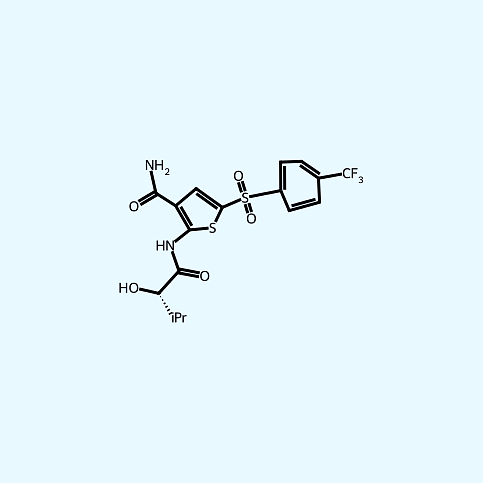 CC(C)[C@H](O)C(=O)Nc1sc(S(=O)(=O)c2ccc(C(F)(F)F)cc2)cc1C(N)=O